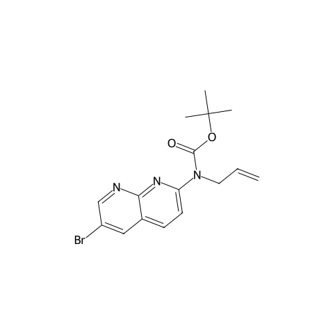 C=CCN(C(=O)OC(C)(C)C)c1ccc2cc(Br)cnc2n1